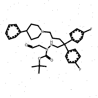 CC(C)(C)OC(=O)N(CC=O)NCC(CCCN1CCC(c2ccccc2)CC1)(c1ccc(F)cc1)c1ccc(F)cc1